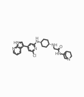 O=C(CN[C@H]1CC[C@H](Nc2cc(-c3c[nH]c4ncccc34)cc(Cl)n2)CC1)NC1CN2CCC1CC2